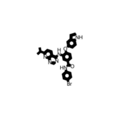 CC(C)c1ccc2c(Nc3cc(C(=O)Nc4ccc(Br)cc4)ccc3Oc3ccc4[nH]ccc4c3)ncnc2n1